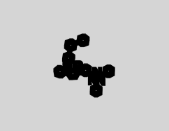 c1ccc(-c2cccc(-c3ccc(-n4c5ccccc5c5ccc6c7cc(-c8nc(-c9ccccc9)nc(-c9ccccc9)n8)ccc7oc6c54)cc3)c2)cc1